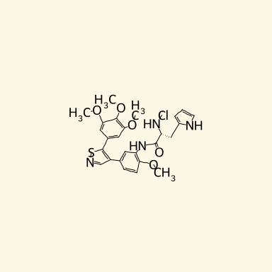 COc1ccc(-c2cnsc2-c2cc(OC)c(OC)c(OC)c2)cc1NC(=O)[C@@H](Cc1ccc[nH]1)NCl